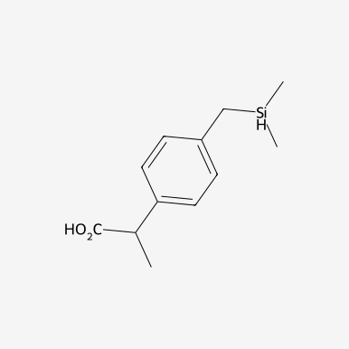 CC(C(=O)O)c1ccc(C[SiH](C)C)cc1